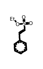 CCOS(=O)(=O)C=Cc1ccccc1